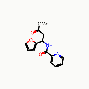 COC(=O)CC(NC(=O)c1ccccn1)c1ccco1